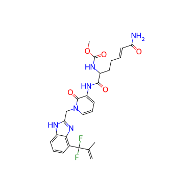 C=C(C)C(F)(F)c1cccc2[nH]c(Cn3cccc(NC(=O)C(CC/C=C/C(N)=O)NC(=O)OC)c3=O)nc12